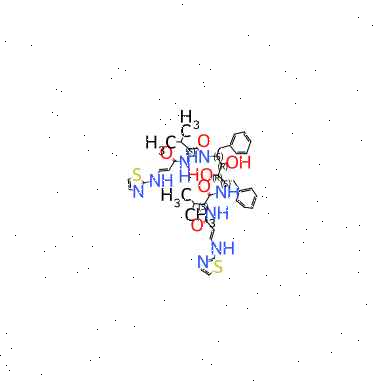 CC(C)[C@H](NC(=O)C=CNc1nccs1)C(=O)N[C@@H](Cc1ccccc1)[C@@H](O)[C@H](O)[C@H](Cc1ccccc1)NC(=O)[C@@H](NC(=O)C=CNc1nccs1)C(C)C